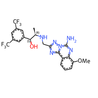 COc1cccc2c1nc(N)n1nc(CN[C@H](C)[C@@H](O)c3cc(C(F)(F)F)cc(C(F)(F)F)c3)nc21